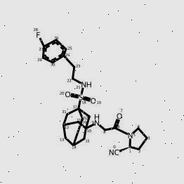 N#C[C@@H]1CCCN1C(=O)CNC12CC3CC(C1)CC(S(=O)(=O)NCCc1ccc(F)cc1)(C3)C2